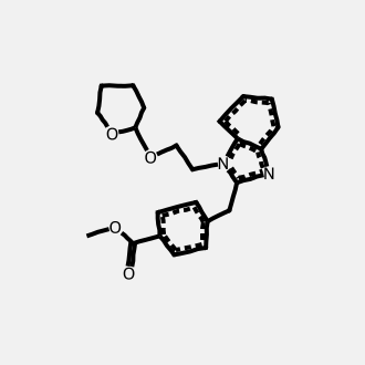 COC(=O)c1ccc(Cc2nc3ccccc3n2CCOC2CCCCO2)cc1